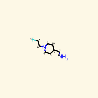 NCC1CCN(CCF)CC1